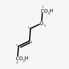 O=C(O)C=CCOC(=O)O